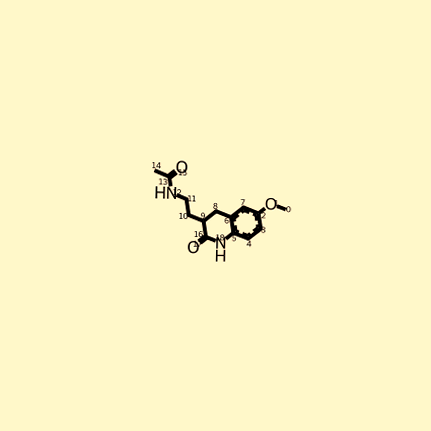 COc1ccc2c(c1)CC(CCNC(C)=O)C(=O)N2